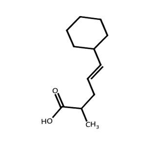 CC(CC=CC1CCCCC1)C(=O)O